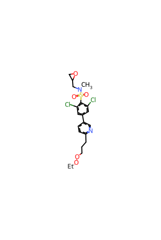 CCOOCCCc1ccc(-c2cc(Cl)c(S(=O)(=O)N(C)CC3CO3)c(Cl)c2)cn1